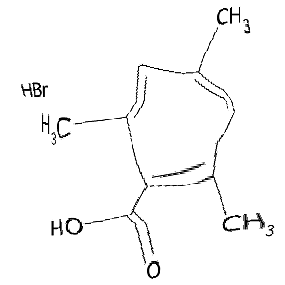 Br.Cc1cc(C)c(C(=O)O)c(C)c1